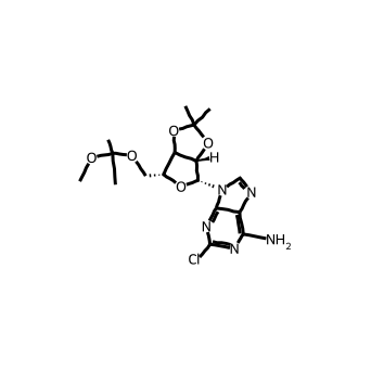 COC(C)(C)OC[C@H]1O[C@@H](n2cnc3c(N)nc(Cl)nc32)[C@H]2OC(C)(C)OC12